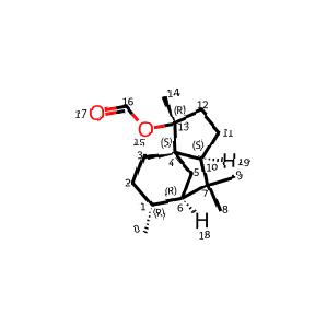 C[C@@H]1CC[C@]23C[C@H]1C(C)(C)[C@@H]2CC[C@@]3(C)OC=O